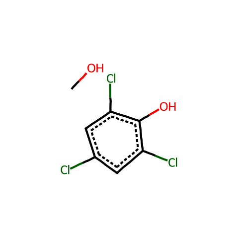 CO.Oc1c(Cl)cc(Cl)cc1Cl